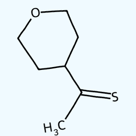 CC(=S)C1CCOCC1